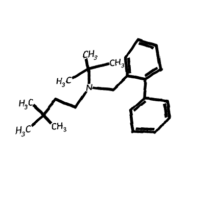 CC(C)(C)CCN(Cc1ccccc1-c1ccccc1)C(C)(C)C